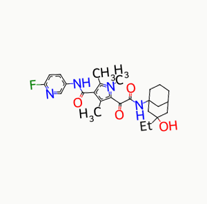 CCC1(O)CC2CCCC(NC(=O)C(=O)c3c(C)c(C(=O)Nc4ccc(F)nc4)c(C)n3C)(C2)C1